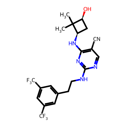 CC1(C)[C@@H](O)C[C@H]1Nc1nc(NCCc2cc(C(F)(F)F)cc(C(F)(F)F)c2)ncc1C#N